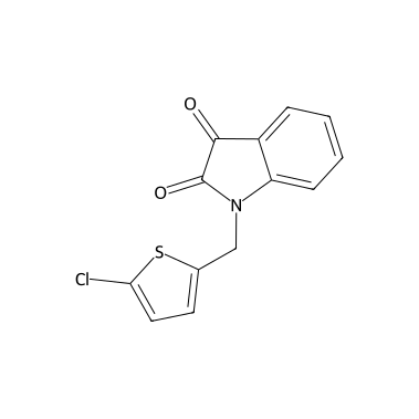 O=C1C(=O)N(Cc2ccc(Cl)s2)c2ccccc21